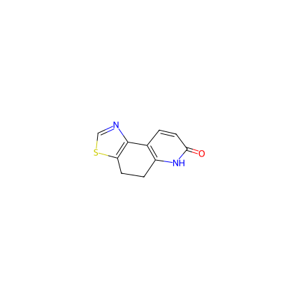 O=c1ccc2c([nH]1)CCc1scnc1-2